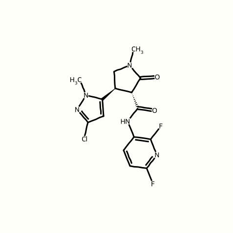 CN1C[C@H](c2cc(Cl)nn2C)[C@@H](C(=O)Nc2ccc(F)nc2F)C1=O